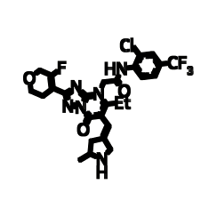 CCc1c(C=C2CNC(C)C2)c(=O)n2nc(C3=C(F)COCC3)nc2n1CC(=O)Nc1ccc(C(F)(F)F)cc1Cl